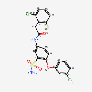 NS(=O)(=O)c1cc(NC(=O)Cc2c(F)cccc2Cl)ccc1Oc1cccc(Cl)c1